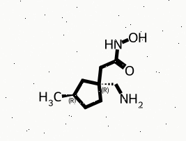 C[C@@H]1CC[C@](CN)(CC(=O)NO)C1